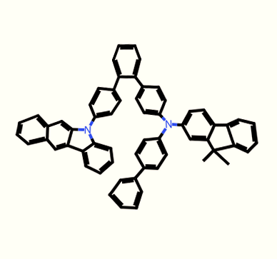 CC1(C)c2ccccc2-c2ccc(N(c3ccc(-c4ccccc4)cc3)c3ccc(-c4ccccc4-c4ccc(-n5c6ccccc6c6cc7ccccc7cc65)cc4)cc3)cc21